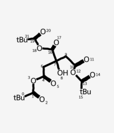 CC(C)(C)C(=O)OC(=O)CC(O)(CC(=O)OC(=O)C(C)(C)C)C(=O)OC(=O)C(C)(C)C